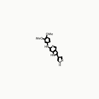 COc1ccc(Nc2cc3[nH]c(-c4cn[nH]c4)cc3cn2)cc1OC